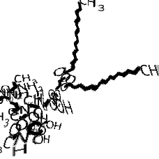 CCCCCCCCCCCCCCCC(=O)OCC(COP(=O)(O)OCCNC(=O)[C@H](C)N(CC(C)O[C@H]1[C@H](O)[C@@H](CO)O[C@H](O)[C@@H]1NC(C)=O)C(=O)CC[C@@H](NC(=O)C(N)CC)C(N)=O)OC(=O)CCCCCCCCCCCCCCC